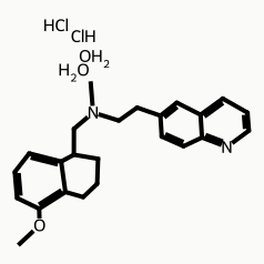 COc1cccc2c1CCCC2CN(C)CCc1ccc2ncccc2c1.Cl.Cl.O.O